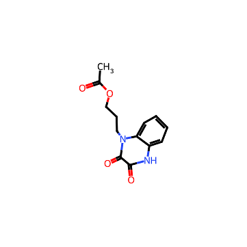 CC(=O)OCCCn1c(=O)c(=O)[nH]c2ccccc21